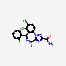 C[C@@H]1N=C(c2c(F)cccc2F)c2c(ccc(Cl)c2Cl)-n2nc(C(N)=O)nc21